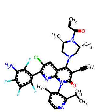 C#Cc1c(N2C[C@@H](C)N(C(=O)C=C)[C@@H](C)C2)c2cc(Cl)c(-c3c(F)c(N)c(F)c(F)c3F)nc2n(-c2c(C)ccnc2C(C)C)c1=O